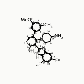 COc1cc(C)cc(-c2cnc(N)c(-c3nc4cc(F)cc(F)c4[nH]3)c2N2CCC(N)CC2)c1